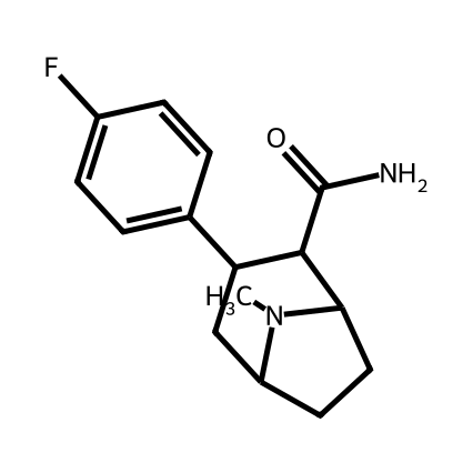 CN1C2CCC1C(C(N)=O)C(c1ccc(F)cc1)C2